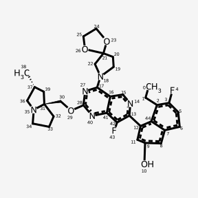 CCc1c(F)ccc2cc(O)cc(-c3ncc4c(N5CCC6(C5)OCCO6)nc(OC[C@@]56CCCN5C[C@H](C)C6)nc4c3F)c12